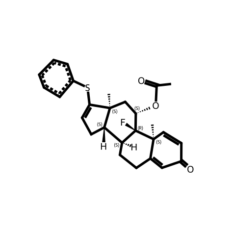 CC(=O)O[C@H]1C[C@]2(C)C(Sc3ccccc3)=CC[C@H]2[C@@H]2CCC3=CC(=O)C=C[C@]3(C)[C@@]12F